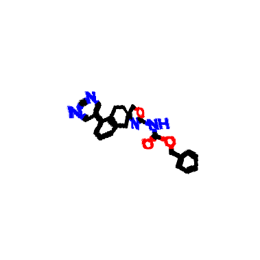 O=C(NC1=N[C@@]2(CCc3c(cccc3-c3cncnc3)C2)CO1)OCc1ccccc1